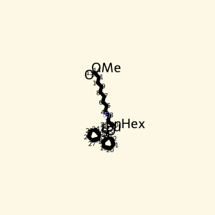 CCCCCCC(C/C=C/CCCCCCCC(=O)OC)O[Si](c1ccccc1)(c1ccccc1)C(C)(C)C